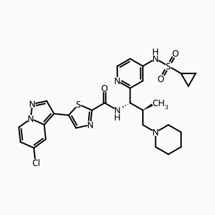 C[C@@H](CN1CCCCC1)[C@H](NC(=O)c1ncc(-c2cnn3ccc(Cl)cc23)s1)c1cc(NS(=O)(=O)C2CC2)ccn1